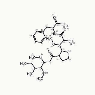 CCC(C)C(NC)C(CC(=O)N1CCCC1C(OC)C(C)C(=O)NC(Cc1ccccc1)C(C)=O)OC